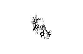 C#C[C@@]1(F)[C@H](O)[C@@H](COP(=O)(NCc2ccc(C)cc2)OCCSC(=O)C(C)(C)CO)O[C@H]1n1cnc2c(=O)[nH]c(N)nc21